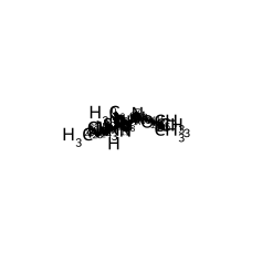 Cc1cn2c(-c3cnn(COCC[Si](C)(C)C)c3)cnc2c(Nc2cc(CN(C)C)ns2)n1